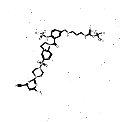 Cc1cc(C#N)nc(N2CCN(S(=O)(=O)c3ccc4c(c3)CCN4C(=O)c3cc(CNCCCNC(=O)OC(C)(C)C)ccc3NS(C)(=O)=O)CC2)n1